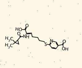 CC1(C)CC1C(=O)NC(=CCCCCSc1ccc(C(=O)O)cn1)C(=O)O